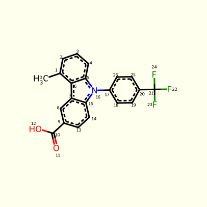 Cc1cccc2c1c1cc(C(=O)O)ccc1n2-c1ccc(C(F)(F)F)cc1